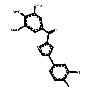 COc1cc(C(=O)c2cc(-c3ccc(C)c(Cl)c3)cs2)cc(OC)c1OC